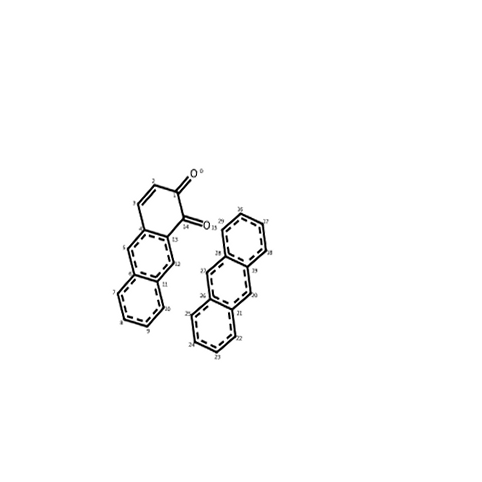 O=C1C=Cc2cc3ccccc3cc2C1=O.c1ccc2cc3ccccc3cc2c1